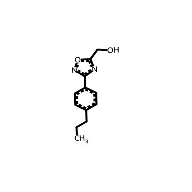 CCCc1ccc(-c2noc(CO)n2)cc1